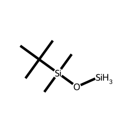 CC(C)(C)[Si](C)(C)O[SiH3]